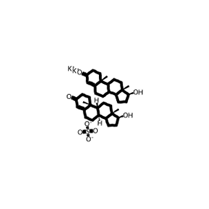 C[C@]12CCC(=O)C=C1CCC1C2CC[C@@]2(C)C1CC[C@@H]2O.C[C@]12CCC(=O)C=C1CC[C@@H]1C3CC[C@H](O)[C@@]3(C)CC[C@H]12.O=S(=O)([O-])[O-].[K+].[K+]